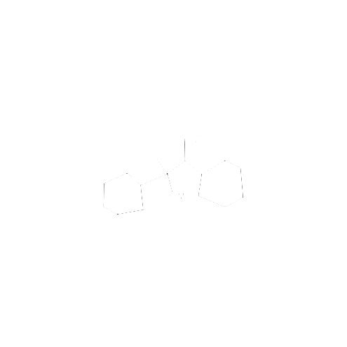 CCOC(=O)C(C1CCCCC1)C(OC)(C(=O)OCC)C1CCCCC1